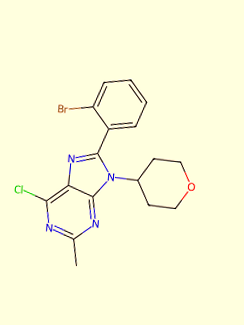 Cc1nc(Cl)c2nc(-c3ccccc3Br)n(C3CCOCC3)c2n1